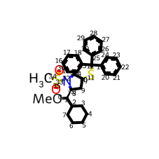 COC(C1CCCCC1)[C@@H]1C[C@@H](SC(c2ccccc2)(c2ccccc2)c2ccccc2)CN1S(C)(=O)=O